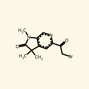 CN1C(=O)C(C)(C)c2cc(C(=O)CBr)ncc21